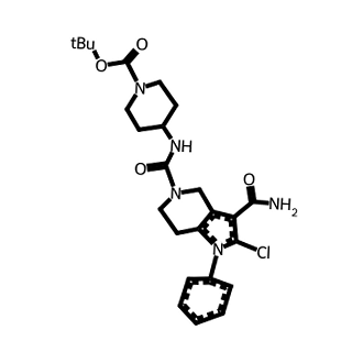 CC(C)(C)OC(=O)N1CCC(NC(=O)N2CCc3c(c(C(N)=O)c(Cl)n3-c3ccccc3)C2)CC1